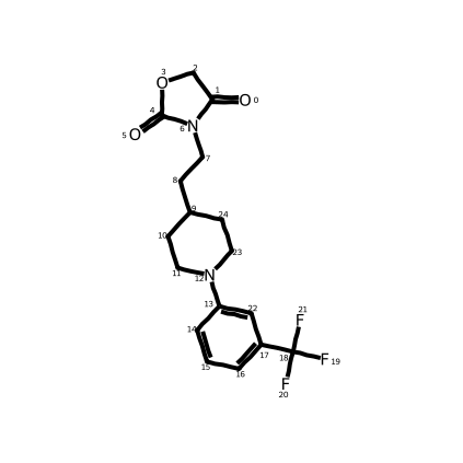 O=C1COC(=O)N1CCC1CCN(c2cccc(C(F)(F)F)c2)CC1